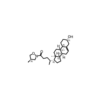 CC(CCC(=O)N1C[C@@H](C)CO1)[C@H]1CC[C@H]2[C@@H]3CC=C4C[C@@H](O)CC[C@]4(C)[C@H]3CC[C@]12C